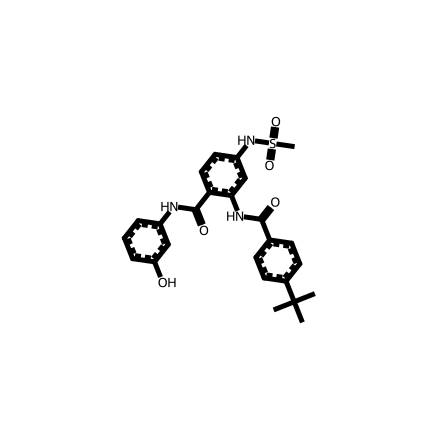 CC(C)(C)c1ccc(C(=O)Nc2cc(NS(C)(=O)=O)ccc2C(=O)Nc2cccc(O)c2)cc1